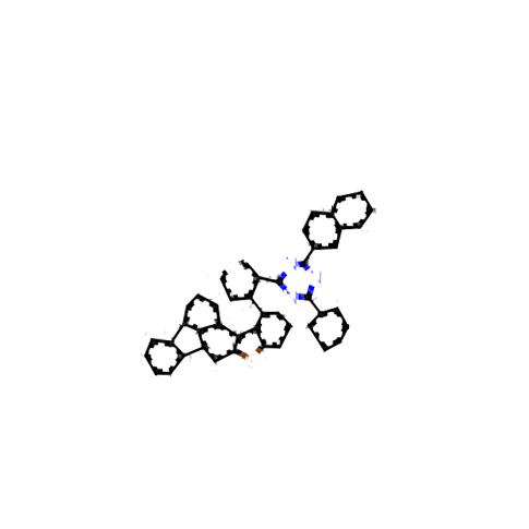 c1ccc(-c2nc(-c3ccc4ccccc4c3)nc(-c3ccccc3-c3cccc4sc5cc6c7c(cccc7c5c34)-c3ccccc3-6)n2)cc1